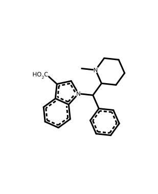 CN1CCCCC1C(c1ccccc1)n1cc(C(=O)O)c2ccccc21